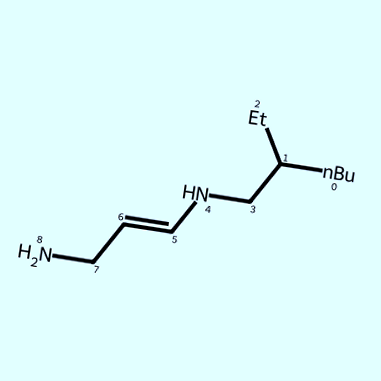 CCCCC(CC)CNC=CCN